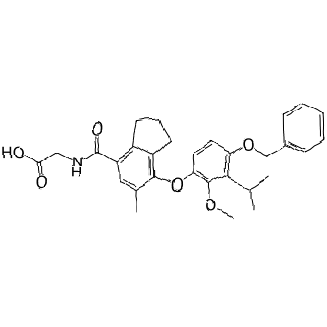 COc1c(Oc2c(C)cc(C(=O)NCC(=O)O)c3c2CCC3)ccc(OCc2ccccc2)c1C(C)C